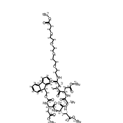 CC(C)[C@H](NC(=O)[C@H](CCC(=O)OC(C)(C)C)NC(=O)[C@@H](CC(=O)OC(C)(C)C)NC(=O)OCC1c2ccccc2-c2ccccc21)C(=O)N[C@H](CC(=O)OC(C)(C)C)C(=O)N(C)[C@@H](C)C(=O)NCCOCCOCCOCCOCCC(=O)OC(C)(C)C